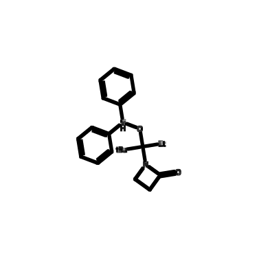 CCC(O[SiH](c1ccccc1)c1ccccc1)(N1CCC1=O)C(C)(C)C